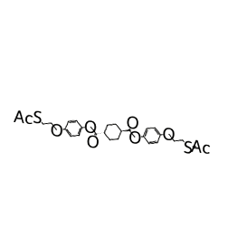 CC(=O)SCCOc1ccc(OC(=O)[C@H]2CC[C@H](C(=O)Oc3ccc(OCCSC(C)=O)cc3)CC2)cc1